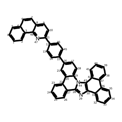 c1ccc2c(c1)ccc1ccc(-c3ccc(-c4ccc5c(c4)c4ccccc4c4nc6c7ccccc7c7ccccc7c6n54)cc3)nc12